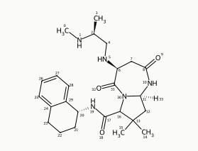 CN[C@@H](C)CN[C@H]1CC(=O)N[C@H]2CC(C)(C)C(C(=O)N[C@@H]3CCCc4ccccc43)N2C1=O